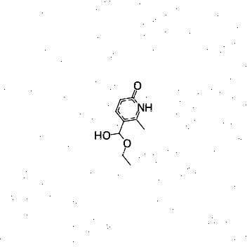 CCOC(O)c1ccc(=O)[nH]c1C